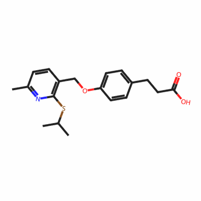 Cc1ccc(COc2ccc(CCC(=O)O)cc2)c(SC(C)C)n1